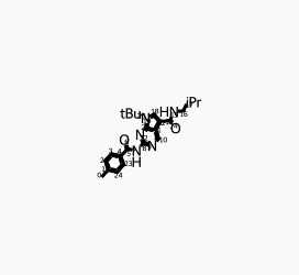 Cc1ccc(C(=O)Nc2ncc3c(C(=O)NCC(C)C)cn(C(C)(C)C)c3n2)cc1